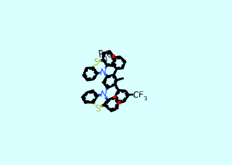 Cc1c(-c2cccc(C(F)(F)F)c2)c(N2c3ccccc3Sc3ccccc32)cc(N2c3ccccc3Sc3ccccc32)c1-c1cccc(C(F)(F)F)c1